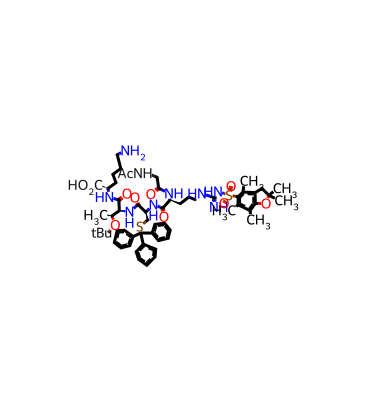 CC(=O)NCC(=O)N[C@@H](CCCNC(=N)NS(=O)(=O)c1c(C)c(C)c2c(c1C)CC(C)(C)O2)C(=O)N[C@@H](CSC(c1ccccc1)(c1ccccc1)c1ccccc1)C(=O)N[C@H](C(=O)N[C@@H](CCCCN)C(=O)O)[C@@H](C)OC(C)(C)C